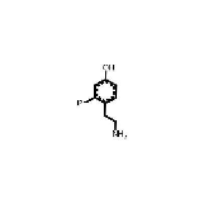 CC(C)c1cc(O)ccc1CCN